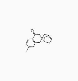 Cc1ccc2c(c1)CC1(CC2=O)CC2=CCC1C2